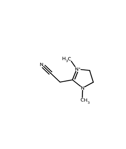 CN1CC[N+](C)=C1CC#N